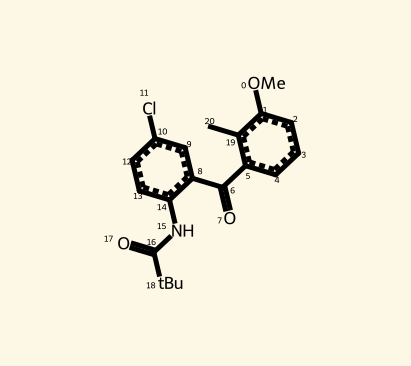 COc1cccc(C(=O)c2cc(Cl)ccc2NC(=O)C(C)(C)C)c1C